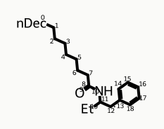 CCCCCCCCCCCCCCCCCC(=O)NC([CH]c1ccccc1)CC